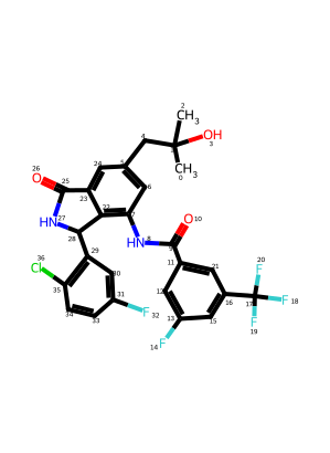 CC(C)(O)Cc1cc(NC(=O)c2cc(F)cc(C(F)(F)F)c2)c2c(c1)C(=O)NC2c1cc(F)ccc1Cl